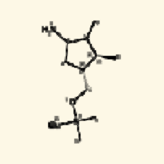 CC1C(N)C[C@@H](CO[Si](C)(C)C(C)(C)C)[C@@H]1C